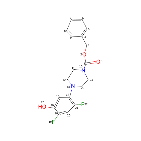 O=C(OCc1ccccc1)N1CCN(c2cc(O)c(F)cc2F)CC1